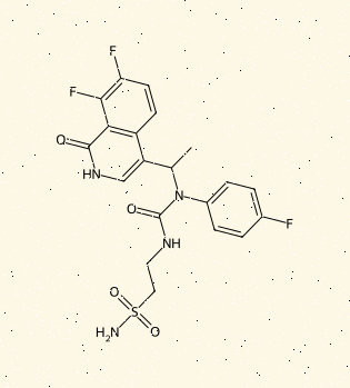 CC(c1c[nH]c(=O)c2c(F)c(F)ccc12)N(C(=O)NCCS(N)(=O)=O)c1ccc(F)cc1